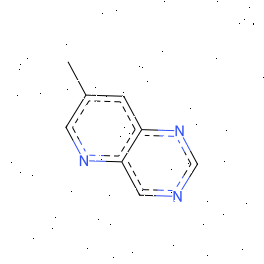 Cc1cnc2cncnc2c1